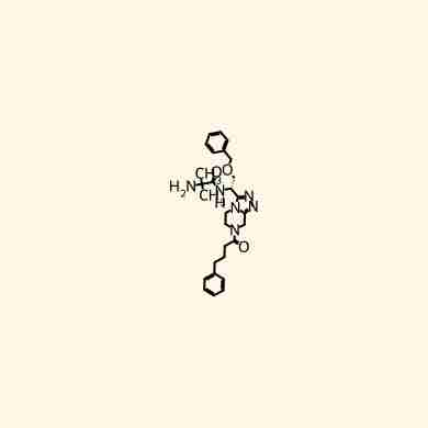 CC(C)(N)C(=O)N[C@H](COCc1ccccc1)c1nnc2n1CCN(C(=O)CCCc1ccccc1)C2